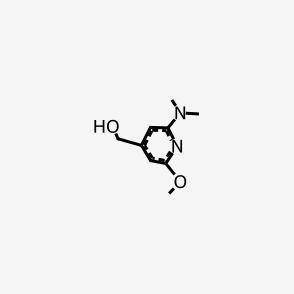 COc1cc(CO)cc(N(C)C)n1